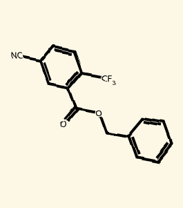 N#Cc1ccc(C(F)(F)F)c(C(=O)OCc2ccccc2)c1